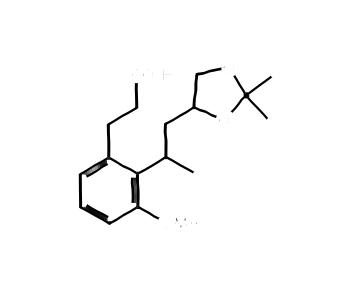 COc1cccc(CCC(=O)O)c1C(C)CC1COC(C)(C)O1